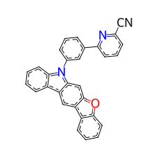 N#Cc1cccc(-c2cccc(-n3c4ccccc4c4cc5c(cc43)oc3ccccc35)c2)n1